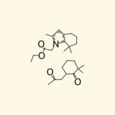 CC(=O)CC1CCCC(C)(C)C1=O.CCOC(=O)Cn1c(C)cc2c1C(C)(C)CCC2